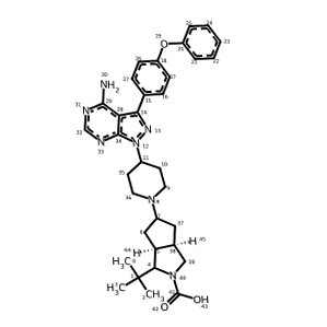 CC(C)(C)C1[C@H]2CC(N3CCC(n4nc(-c5ccc(Oc6ccccc6)cc5)c5c(N)ncnc54)CC3)C[C@H]2CN1C(=O)O